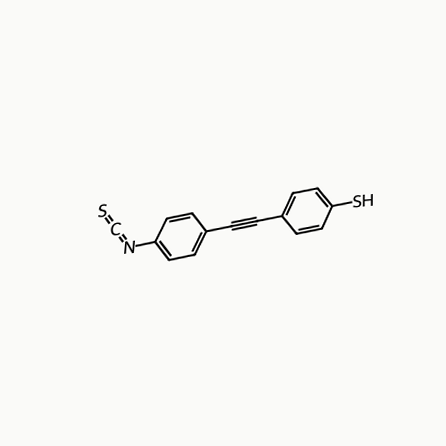 S=C=Nc1ccc(C#Cc2ccc(S)cc2)cc1